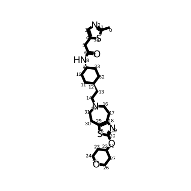 Cc1ncc(CC(=O)N[C@H]2CC[C@H](CCN3CCc4nc(OC5CCOCC5)sc4CC3)CC2)s1